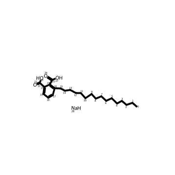 CCCCCCCCCCCCCCCCc1cccc(C(=O)O)c1C(=O)O.[NaH]